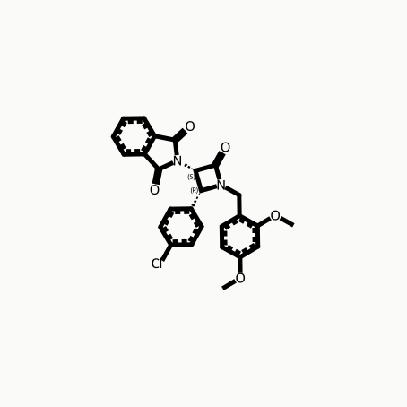 COc1ccc(CN2C(=O)[C@@H](N3C(=O)c4ccccc4C3=O)[C@H]2c2ccc(Cl)cc2)c(OC)c1